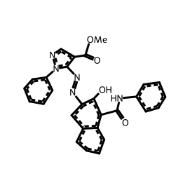 COC(=O)c1cnn(-c2ccccc2)c1/N=N/c1cc2ccccc2c(C(=O)Nc2ccccc2)c1O